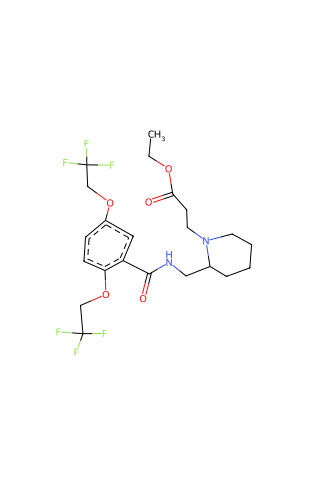 CCOC(=O)CCN1CCCCC1CNC(=O)c1cc(OCC(F)(F)F)ccc1OCC(F)(F)F